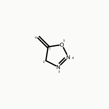 C=C1CN=NO1